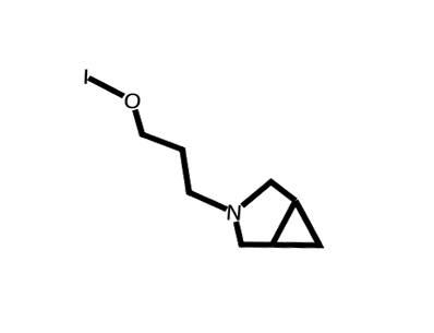 IOCCCN1CC2CC2C1